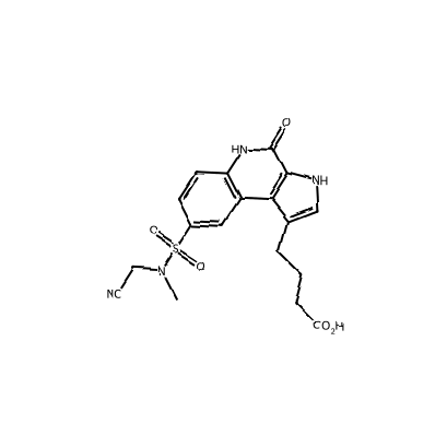 CN(CC#N)S(=O)(=O)c1ccc2[nH]c(=O)c3[nH]cc(CCCC(=O)O)c3c2c1